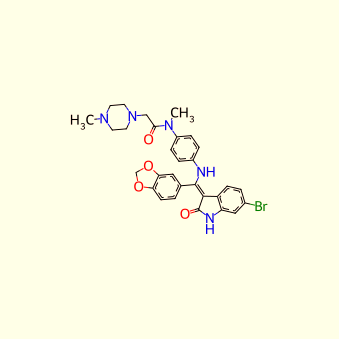 CN1CCN(CC(=O)N(C)c2ccc(NC(=C3C(=O)Nc4cc(Br)ccc43)c3ccc4c(c3)OCO4)cc2)CC1